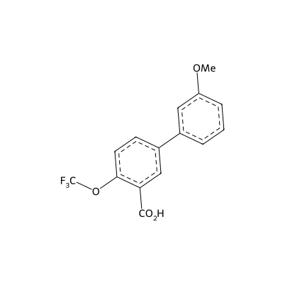 COc1cccc(-c2ccc(OC(F)(F)F)c(C(=O)O)c2)c1